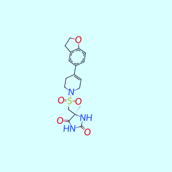 C[C@]1(CS(=O)(=O)N2CC=C(c3ccc4c(c3)CCO4)CC2)NC(=O)NC1=O